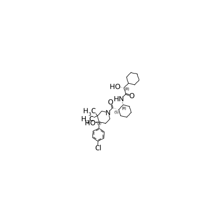 CC1(C)CN(C(=O)[C@H]2CCCC[C@H]2NC(=O)[C@H](O)C2CCCCC2)CC[C@]1(O)c1ccc(Cl)cc1